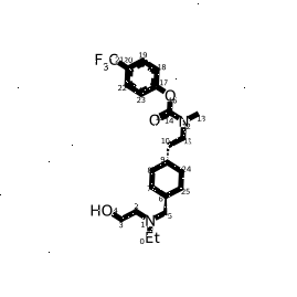 CCN(CCO)C[C@H]1CC[C@H](CCN(C)C(=O)Oc2ccc(C(F)(F)F)cc2)CC1